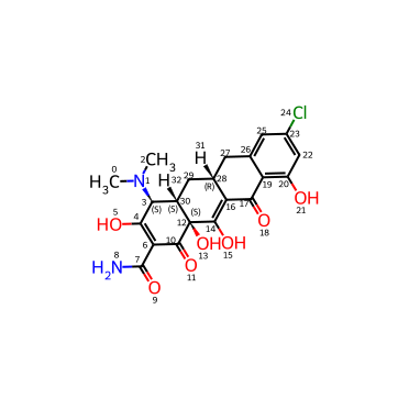 CN(C)[C@@H]1C(O)=C(C(N)=O)C(=O)[C@@]2(O)C(O)=C3C(=O)c4c(O)cc(Cl)cc4C[C@H]3C[C@@H]12